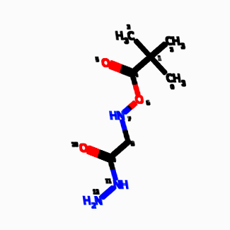 CC(C)(C)C(=O)ONCC(=O)NN